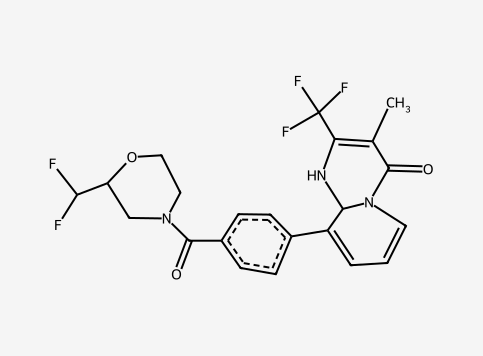 CC1=C(C(F)(F)F)NC2C(c3ccc(C(=O)N4CCOC(C(F)F)C4)cc3)=CC=CN2C1=O